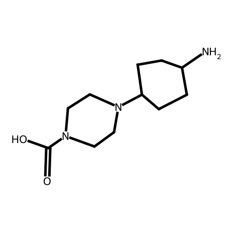 NC1CCC(N2CCN(C(=O)O)CC2)CC1